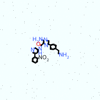 NCCc1ccc(-c2cnc(N)c(C(=O)Nc3cncc(-c4ccccc4[N+](=O)[O-])c3)n2)cc1